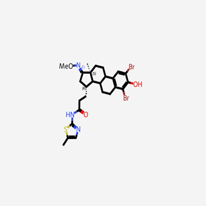 CO/N=C1\C[C@@H](CCC(=O)Nc2ncc(C)s2)C2C3CCc4c(cc(Br)c(O)c4Br)C3CC[C@]12C